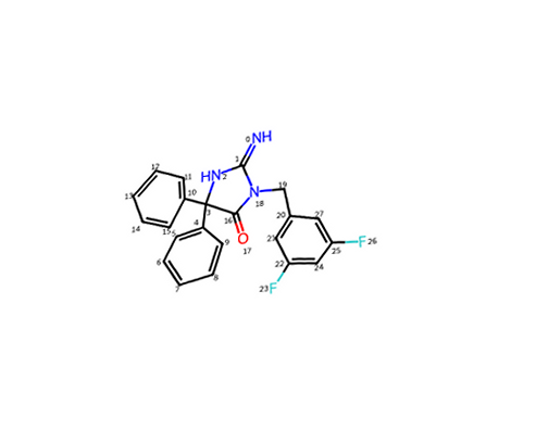 N=C1NC(c2ccccc2)(c2ccccc2)C(=O)N1Cc1cc(F)cc(F)c1